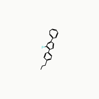 CCCc1ccc(-c2ccc(C3=CCC=CC=C3)cc2F)cc1